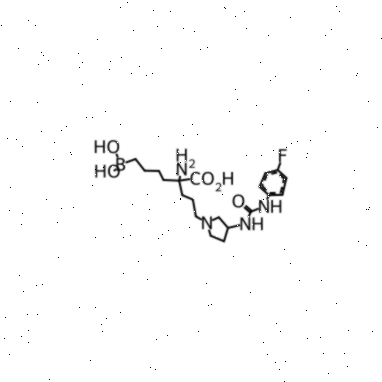 NC(CCCCB(O)O)(CCCN1CCC(NC(=O)Nc2ccc(F)cc2)C1)C(=O)O